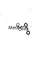 COC(=O)C(O)=CCc1ccccc1OCc1ccccc1